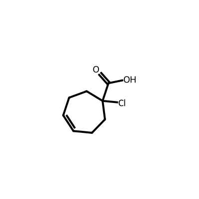 O=C(O)C1(Cl)CCC=CCC1